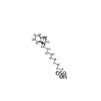 O=S(=O)(O)CCCCCCCCCCn1cnc2ccccc21